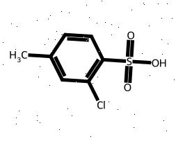 Cc1[c]cc(S(=O)(=O)O)c(Cl)c1